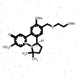 COCCOCc1cc2c(cc1OC)-c1cc(=O)c(C(=O)O)cn1N1[C@@H]2CCC1(C)C